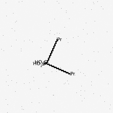 CC(C)CCCCCCCCCCCCCCCCCCCC(CCCCCCCCCCCCCCCCCCCC(C)C)(CC(=O)O)C(=O)O